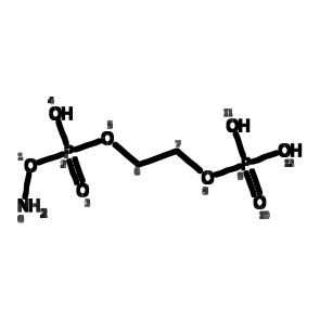 NOP(=O)(O)OCCOP(=O)(O)O